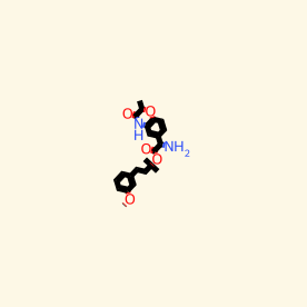 COc1cccc(CCC(C)(C)OC(=O)C(N)c2ccc3c(c2)NC(=O)C(C)O3)c1